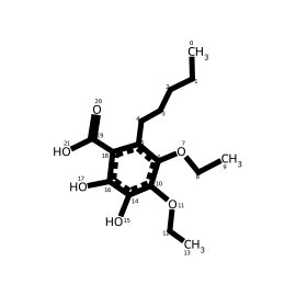 CCCCCc1c(OCC)c(OCC)c(O)c(O)c1C(=O)O